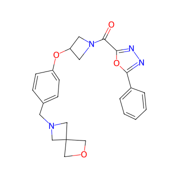 O=C(c1nnc(-c2ccccc2)o1)N1CC(Oc2ccc(CN3CC4(COC4)C3)cc2)C1